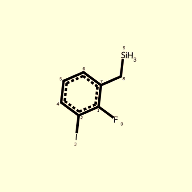 Fc1c(I)cccc1C[SiH3]